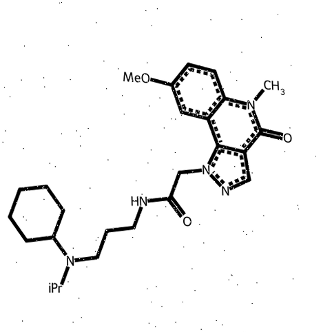 COc1ccc2c(c1)c1c(cnn1CC(=O)NCCCN(C(C)C)C1CCCCC1)c(=O)n2C